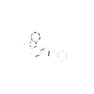 C=C(/N=C(\C=C/N)c1nn(C)c2ccccc12)N[C@H]1CC[C@H](C)CC1